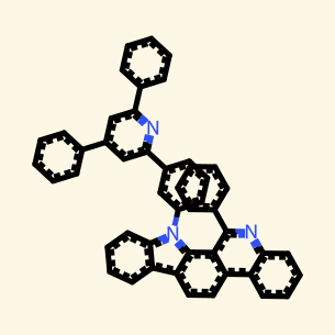 c1ccc(-c2cc(-c3ccccc3)nc(-c3cccc(-n4c5ccccc5c5ccc6c7ccccc7nc(-c7ccccc7)c6c54)c3)c2)cc1